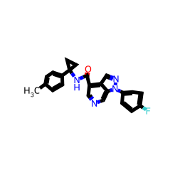 Cc1ccc(C2(NC(=O)c3cncc4c3cnn4-c3ccc(F)cc3)CC2)cc1